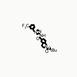 CC(C)(C)OC(=O)N1CCc2cc(C(=O)Nc3cn(Cc4cccc(C(F)(F)F)c4)cn3)ccc2C1